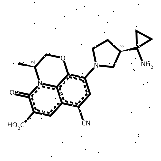 C[C@H]1COc2c(N3CC[C@@H](C4(N)CC4)C3)cc(C#N)c3cc(C(=O)O)c(=O)n1c23